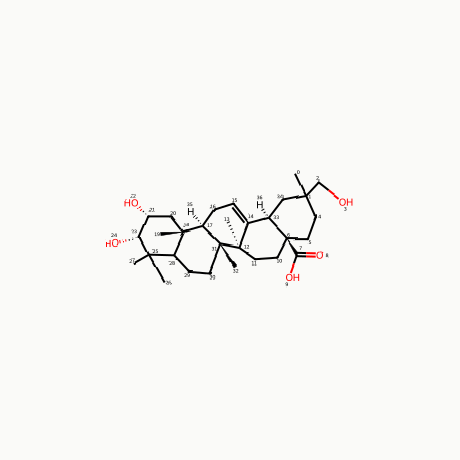 CC1(CO)CC[C@]2(C(=O)O)CC[C@]3(C)C(=CC[C@@H]4[C@@]5(C)C[C@@H](O)[C@@H](O)C(C)(C)C5CC[C@]43C)[C@H]2C1